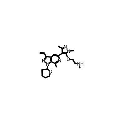 C=Cc1nn(C2CCCCO2)c2c(C)nc(-c3c(C)nn(C)c3OCCNC)cc12